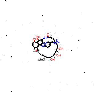 COC1C#CC(O)=c2c(O)c3c4c(nc5ccc(/C=N/N(C)C)cn54)c2=C1C(=O)C/C=C/[C@H](OC)[C@@H](C)[C@@H](O)[C@H](C)[C@H](O)[C@H](C)[C@@H](O)[C@@H](C)/C=C/C=C(/C)C(=O)N3